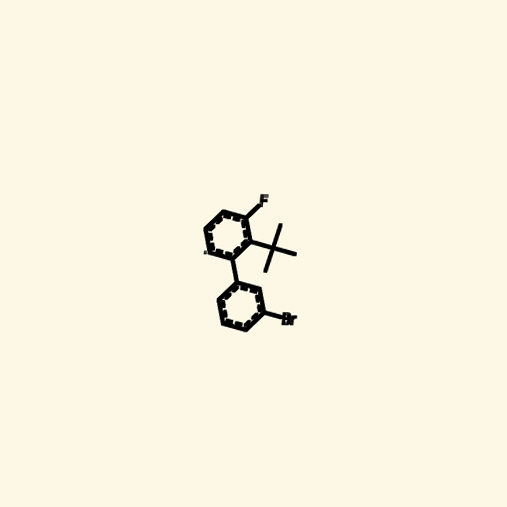 CC(C)(C)c1c(-c2cccc(Br)c2)[c]ccc1F